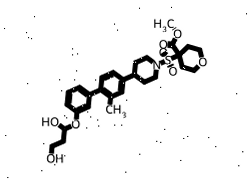 COC(=O)C1(S(=O)(=O)N2CCC(c3ccc(-c4cccc(OC(O)CCO)c4)c(C)c3)CC2)CCOCC1